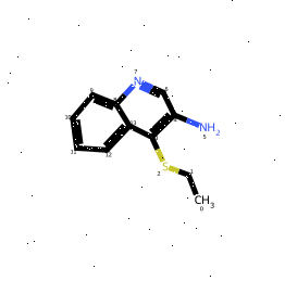 CCSc1c(N)cnc2ccccc12